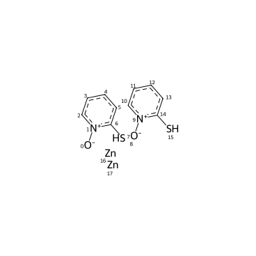 [O-][n+]1ccccc1S.[O-][n+]1ccccc1S.[Zn].[Zn]